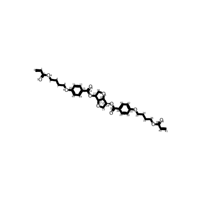 C=CC(=O)OCCCCOc1ccc(C(=O)OC2COC3C2OC[C@@H]3OC(=O)c2ccc(OCCCCOC(=O)C=C)cc2)cc1